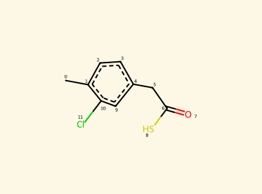 Cc1ccc(CC(=O)S)cc1Cl